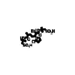 CCC(C(=O)NC(C)(C)CS(=O)(=O)O)C(CCC(C)C(=O)NC(C)(C)CS(=O)(=O)O)N1CCCC1=O